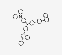 c1ccc(-c2ccc(-c3ccc(N(c4ccc(-c5ccc(-c6cccc7ccccc67)cc5)cc4)c4ccc(-n5c6ccccc6c6ccccc65)cc4)cc3)c3ccccc23)cc1